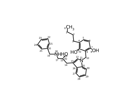 CCCCc1ccc(O)c(Cn2cc(C[C@H](O)CNCc3ccccc3)c3ccccc32)c1O